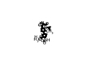 Cc1c(-c2ccc3c(c2)C(C)(C)OC(=O)N3)ccc2c3ocnc3c(=O)n(C3CC3)c12